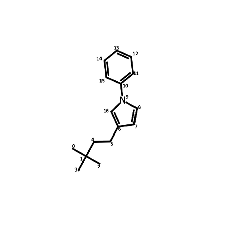 CC(C)(C)CCc1ccn(-c2ccccc2)c1